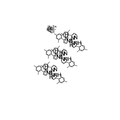 Cc1cc(C)c(-c2cc[n+]([BH-](n3nccc3-c3c(C)cc(C)cc3C)[n+]3ccc(-c4c(C)cc(C)cc4C)[nH]3)[nH]2)c(C)c1.Cc1cc(C)c(-c2cc[n+]([BH-](n3nccc3-c3c(C)cc(C)cc3C)[n+]3ccc(-c4c(C)cc(C)cc4C)[nH]3)[nH]2)c(C)c1.Cc1cc(C)c(-c2cc[n+]([BH-](n3nccc3-c3c(C)cc(C)cc3C)[n+]3ccc(-c4c(C)cc(C)cc4C)[nH]3)[nH]2)c(C)c1.[Cl-].[Cl-].[Cl-].[Zr+3]